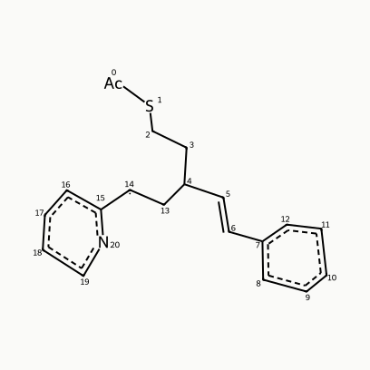 CC(=O)SCCC(C=Cc1ccccc1)C[CH]c1ccccn1